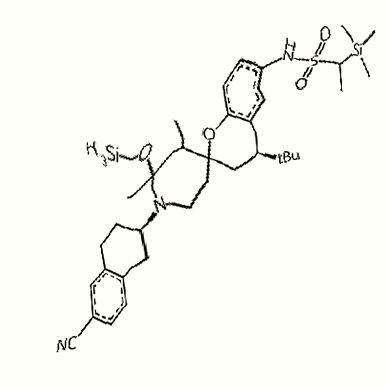 CC1C2(CCN([C@@H]3CCc4cc(C#N)ccc4C3)C1(C)O[SiH3])C[C@H](C(C)(C)C)c1cc(NS(=O)(=O)C(C)[Si](C)(C)C)ccc1O2